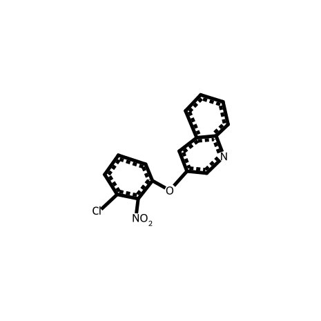 O=[N+]([O-])c1c(Cl)cccc1Oc1cnc2ccccc2c1